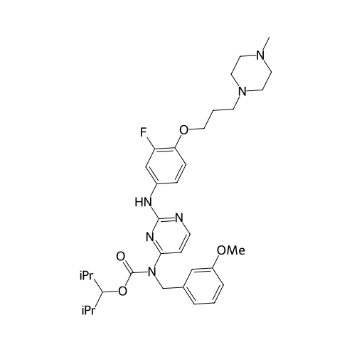 COc1cccc(CN(C(=O)OC(C(C)C)C(C)C)c2ccnc(Nc3ccc(OCCCN4CCN(C)CC4)c(F)c3)n2)c1